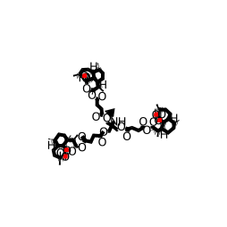 C[C@H]1[C@H](OC(=O)CCC(=O)OCC(COC(=O)CCC(=O)O[C@@H]2O[C@@H]3O[C@@]4(C)CC[C@H]5[C@H](C)CC[C@@H]([C@H]2C)[C@@]35OO4)(COC(=O)CCC(=O)O[C@@H]2O[C@@H]3O[C@@]4(C)CC[C@H]5[C@H](C)CC[C@@](C)([C@H]2C)[C@@]35OO4)NC2CC2)O[C@@H]2O[C@@]3(C)CC[C@H]4[C@H](C)CC[C@@H]1[C@@]24OO3